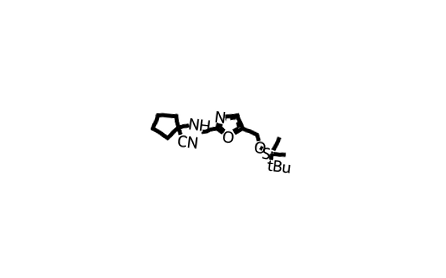 CC(C)(C)[Si](C)(C)OCc1cnc(CNC2(C#N)CCCC2)o1